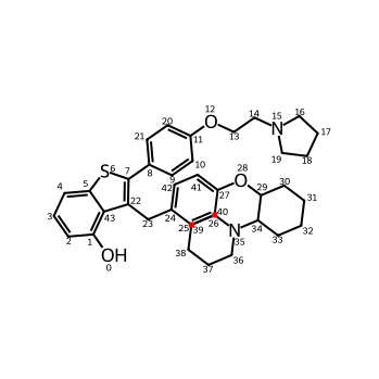 Oc1cccc2sc(-c3ccc(OCCN4CCCC4)cc3)c(Cc3ccc(OC4CCCCC4N4CCCCC4)cc3)c12